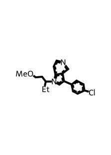 CCC(CCOC)n1cc(-c2ccc(Cl)cc2)c2cnccc21